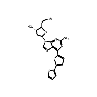 Nc1nc(-c2ccc(-c3cccs3)s2)c2ncn([C@H]3C[C@H](O)[C@@H](CO)O3)c2n1